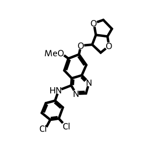 COc1cc2c(Nc3ccc(Cl)c(Cl)c3)ncnc2cc1OC1COC2CCOC21